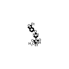 CCC1OC=C2CC=C(Oc3ncc(N4C(=O)N[C@](C)(CC)C4=O)cn3)C=C21